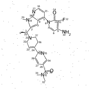 C[C@@H](c1cc2c(-n3ccc(N)c(F)c3=O)ccnc2n1C)N1CC=C(c2ccc(C(=O)N(C)C)cn2)CC1